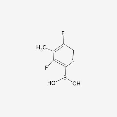 Cc1c(F)ccc(B(O)O)c1F